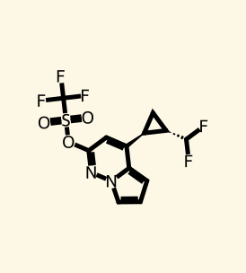 O=S(=O)(Oc1cc([C@H]2C[C@@H]2C(F)F)c2cccn2n1)C(F)(F)F